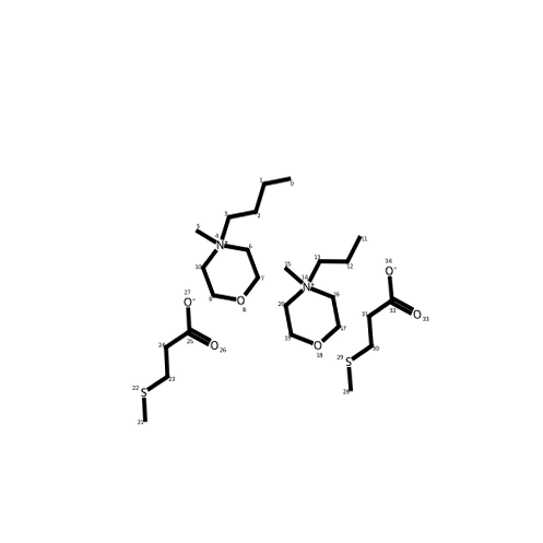 CCCC[N+]1(C)CCOCC1.CCC[N+]1(C)CCOCC1.CSCCC(=O)[O-].CSCCC(=O)[O-]